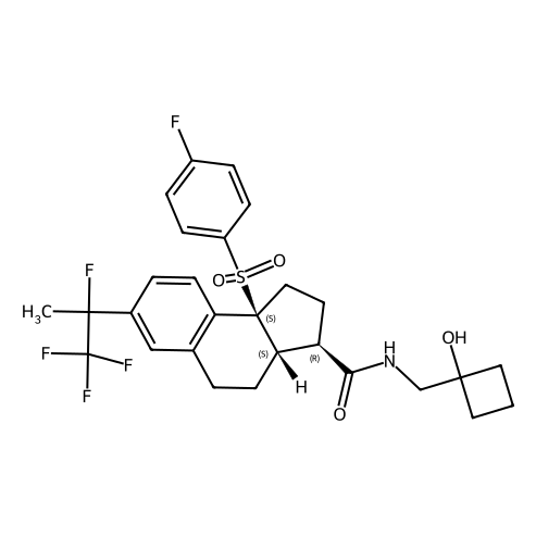 CC(F)(c1ccc2c(c1)CC[C@H]1[C@H](C(=O)NCC3(O)CCC3)CC[C@@]21S(=O)(=O)c1ccc(F)cc1)C(F)(F)F